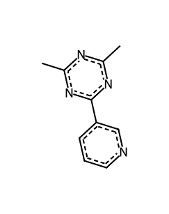 Cc1nc(C)nc(-c2cccnc2)n1